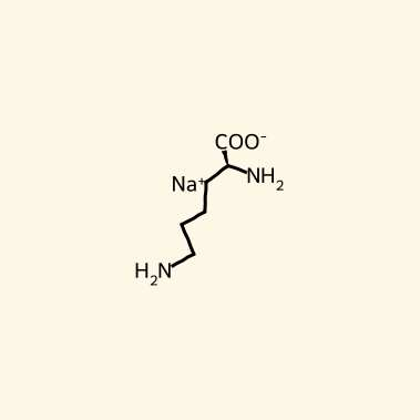 NCCCC[C@H](N)C(=O)[O-].[Na+]